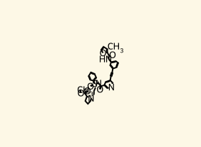 COC(=O)C1CCCN1CCC[S@@](=O)(=NC(=O)c1cncc(C#Cc2cccc(NC(=O)c3occc3C)c2)c1)c1ccccc1